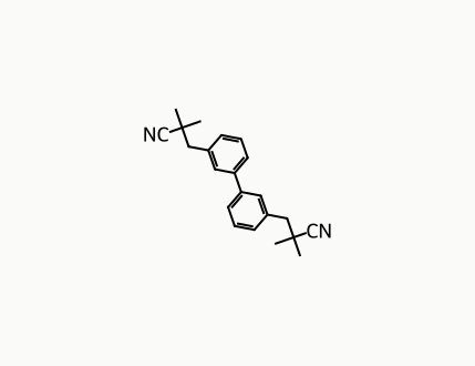 CC(C)(C#N)Cc1cccc(-c2cccc(CC(C)(C)C#N)c2)c1